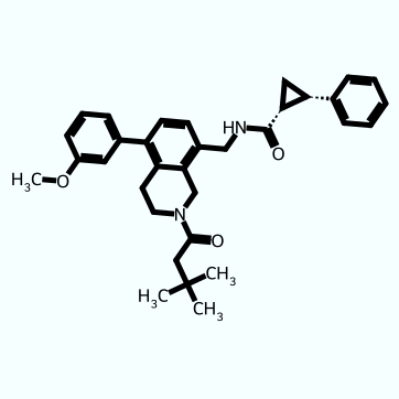 COc1cccc(-c2ccc(CNC(=O)[C@@H]3C[C@@H]3c3ccccc3)c3c2CCN(C(=O)CC(C)(C)C)C3)c1